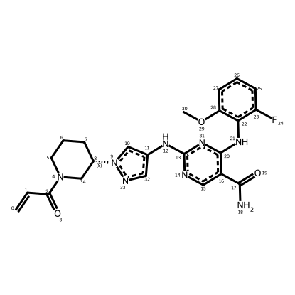 C=CC(=O)N1CCC[C@H](n2cc(Nc3ncc(C(N)=O)c(Nc4c(F)cccc4OC)n3)cn2)C1